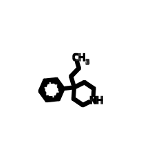 CCCC1(c2ccccc2)CCNCC1